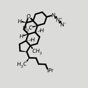 CC(C)CCC[C@@H](C)[C@H]1CC[C@H]2[C@@H]3C[C@@H]4OC45CCC(N=[N+]=[N-])C[C@]5(C)[C@H]3CC[C@]12C